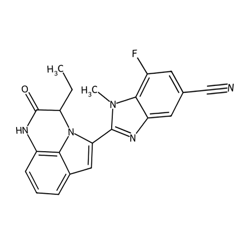 CCC1C(=O)Nc2cccc3cc(-c4nc5cc(C#N)cc(F)c5n4C)n1c23